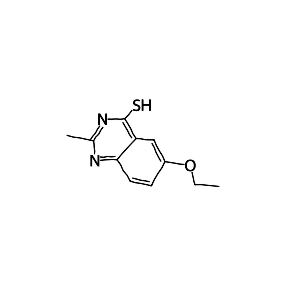 CCOc1ccc2nc(C)nc(S)c2c1